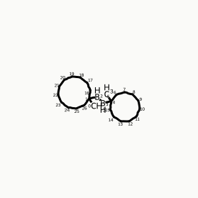 CC1(BBC2(C)CCCCCCCCCC2)CCCCCCCCCCC1